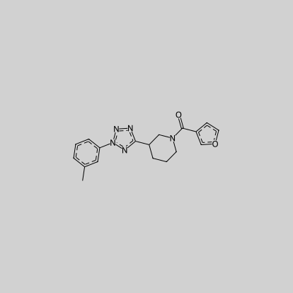 Cc1cccc(-n2nnc(C3CCCN(C(=O)c4ccoc4)C3)n2)c1